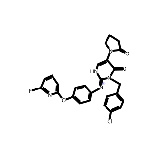 O=C1CCCN1c1c[nH]/c(=N\c2ccc(Oc3cccc(F)n3)cc2)n(Cc2ccc(Cl)cc2)c1=O